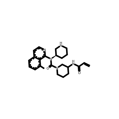 C=CC(=O)NC1CCCN(C(=O)N(c2nccc3cccc(C)c23)[C@@H]2CCCNC2)C1